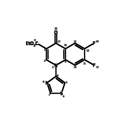 CCOC(=O)c1cn(-c2cscn2)c2cc(F)c(F)cc2c1=O